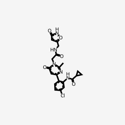 Cc1nc(-c2ccc(Cl)cc2NC(=O)C2CC2)cc(=O)n1CC(=O)NCc1cc(=O)[nH]o1